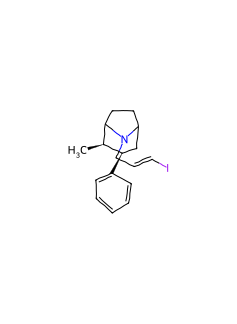 C[C@H]1C2CCC(C[C@H]1c1ccccc1)N2C/C=C/I